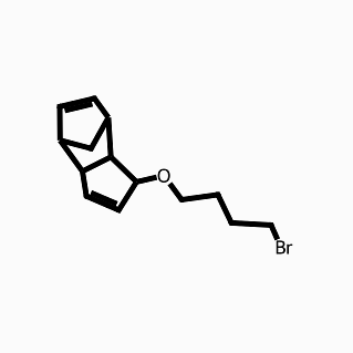 BrCCCCOC1C=CC2C3C=CC(C3)C12